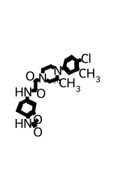 Cc1cc(N2CCN(C(=O)C(=O)Nc3ccc4[nH]c(=O)oc4c3)C[C@H]2C)ccc1Cl